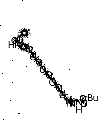 CC(C)(C)OC(=O)NCc1cn(CCOCCOCCOCCOCCOCCOCCOCCOc2ccc(NC(=O)OCc3ccccc3)cc2)nn1